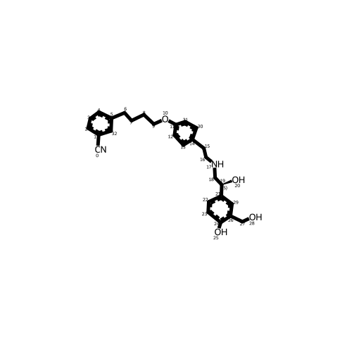 N#Cc1cccc(CCCCOc2ccc(CCNC[C@@H](O)c3ccc(O)c(CO)c3)cc2)c1